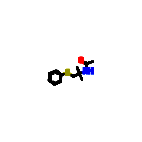 CC(=O)NC(C)(C)CSc1ccccc1